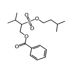 CC(C)CCOS(=O)(=O)C(COC(=O)c1ccccc1)C(C)C